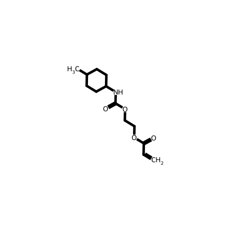 C=CC(=O)OCCOC(=O)NC1CCC(C)CC1